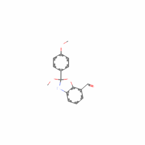 COc1ccc(C2(OC)Nc3cccc(C=O)c3O2)cc1